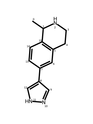 CC1NCCc2cc(-c3cn[nH]c3)ccc21